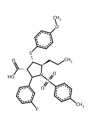 CCC[C@@H]1[C@@H](Sc2ccc(OC)cc2)[C@@H](C(=O)O)C(c2cccc(F)c2)N1S(=O)(=O)c1ccc(C)cc1